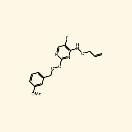 C=CCONc1nc(OOCc2cccc(OC)c2)ncc1F